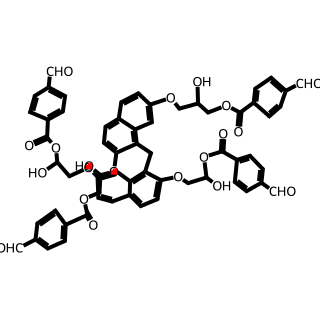 O=Cc1ccc(C(=O)OCC(O)COc2ccc3ccc(OC(O)COC(=O)c4ccc(C=O)cc4)c(Cc4c(OCC(O)OC(=O)c5ccc(C=O)cc5)ccc5ccc(OCC(O)OC(=O)c6ccc(C=O)cc6)cc45)c3c2)cc1